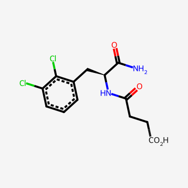 NC(=O)[C@H](Cc1cccc(Cl)c1Cl)NC(=O)CCC(=O)O